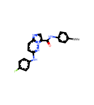 CNc1ccc(NC(=O)c2cnc3ccc(Nc4ccc(F)cc4)nn23)cc1